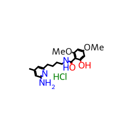 COc1cc(O)c(C(=O)NCCCCc2cc(C)cc(N)n2)c(OC)c1.Cl